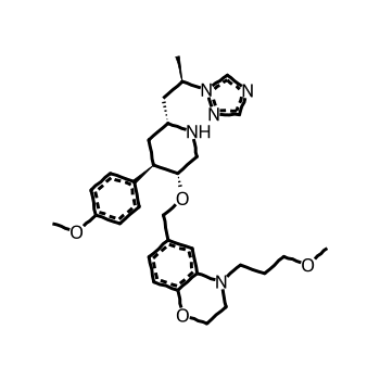 COCCCN1CCOc2ccc(CO[C@H]3CN[C@@H](C[C@@H](C)n4cncn4)C[C@@H]3c3ccc(OC)cc3)cc21